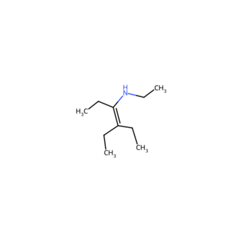 CCNC(CC)=C(CC)CC